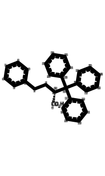 O=C(O)[C@H](CCc1ccccc1)C(c1ccccc1)(c1ccccc1)c1ccccc1